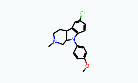 COc1ccc(N2c3ccc(Cl)cc3C3CCN(C)CC32)cc1